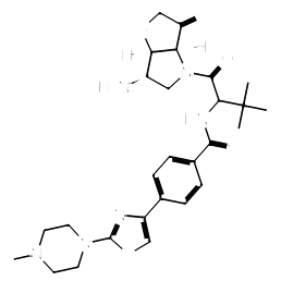 CN1CCN(c2nc(-c3ccc(C(=O)NC(C(=O)N4C[C@@H](N)[C@H]5OCC(=O)[C@H]54)C(C)(C)C)cc3)cs2)CC1